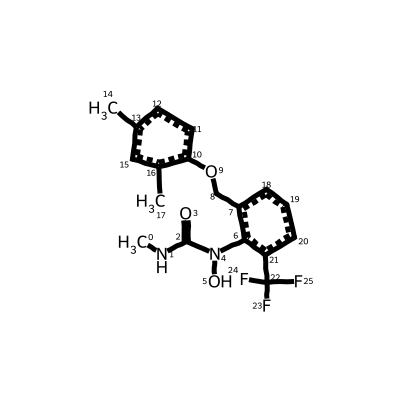 CNC(=O)N(O)c1c(COc2ccc(C)cc2C)cccc1C(F)(F)F